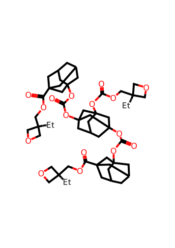 CCC1(COC(=O)OC23CC4CC(OC(=O)OC56CC7CC(C5)CC(C(=O)OCC5(CC)COC5)(C7)C6)(C2)CC(OC(=O)OC25CC6CC(C2)CC(C(=O)OCC2(CC)COC2)(C6)C5)(C4)C3)COC1